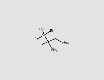 CCCCCCCC(C)(P)[Si](CC)(CC)CC